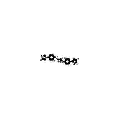 O=C(COc1ccc(-n2ccnc2)cc1)Nc1ccc(-c2cccs2)cc1